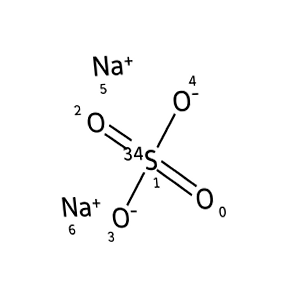 O=[34S](=O)([O-])[O-].[Na+].[Na+]